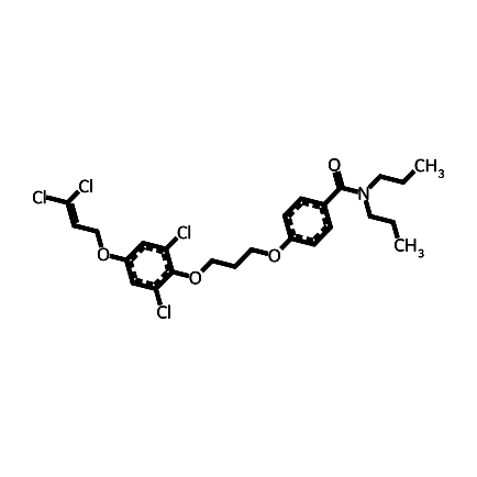 CCCN(CCC)C(=O)c1ccc(OCCCOc2c(Cl)cc(OCC=C(Cl)Cl)cc2Cl)cc1